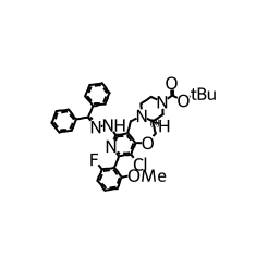 COc1cccc(F)c1-c1nc(NN=C(c2ccccc2)c2ccccc2)c2c(c1Cl)OC[C@H]1CN(C(=O)OC(C)(C)C)CCN1C2